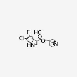 Cl.O=C(OCC12CCN(CC1)CC2)c1c[nH]c2cc(Cl)c(F)cc12